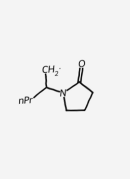 [CH2]C(CCC)N1CCCC1=O